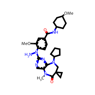 COc1cc(C(=O)NC2CCC(OC)CC2)ccc1N(N)c1ncc2c(n1)N(C1CCCC1)CC1(CC1)C(=O)N2C